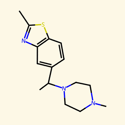 Cc1nc2cc(C(C)N3CCN(C)CC3)ccc2s1